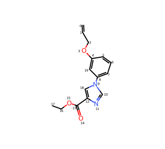 C=CCOc1cccc(-n2cnc(C(=O)OCC)c2)c1